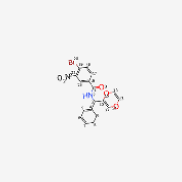 O=C(NC(C1=CC=CCC1)C1=COC=CO1)c1ccc(Br)c([N+](=O)[O-])c1